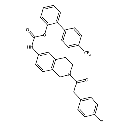 O=C(Nc1ccc2c(c1)CCN(C(=O)Cc1ccc(F)cc1)C2)Oc1ccccc1-c1ccc(C(F)(F)F)cc1